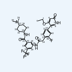 CCOc1cc(=O)[nH]cc1-c1ccc(CC(=O)Nc2cc(C(=O)N[C@H]3CC[C@H](N(C)C)CC3)cc(C(F)(F)F)c2)c(F)c1